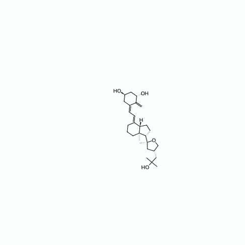 C=C1/C(=C\C=C2/CCC[C@@]3(C)[C@H]2CC[C@@H]3[C@]2(C)C[C@@H](CC(C)(C)O)CO2)C[C@@H](O)C[C@@H]1O